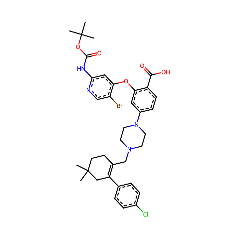 CC1(C)CCC(CN2CCN(c3ccc(C(=O)O)c(Oc4cc(NC(=O)OC(C)(C)C)ncc4Br)c3)CC2)=C(c2ccc(Cl)cc2)C1